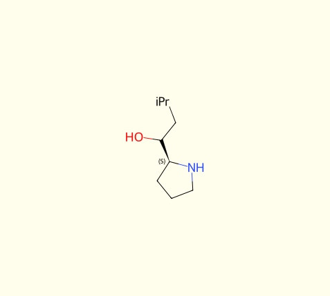 CC(C)CC(O)[C@@H]1CCCN1